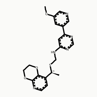 COc1cncc(-c2cc(NCS[C@@H](C)c3ccnc4c3OCCO4)ncn2)c1